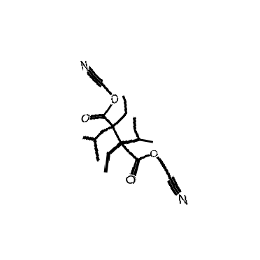 CCC(C(=O)OC#N)(C(C)C)C(CC)(C(=O)OC#N)C(C)C